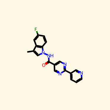 Cc1cn(NC(=O)c2cnc(-c3cccnc3)nc2)c2ccc(F)cc12